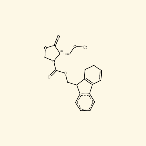 CCOC[C@H]1C(=O)OCN1C(=O)OCC1C2=C(C=CCC2)c2ccccc21